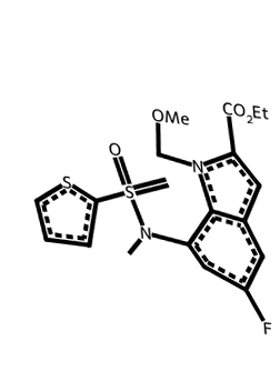 C=S(=O)(c1cccs1)N(C)c1cc(F)cc2cc(C(=O)OCC)n(COC)c12